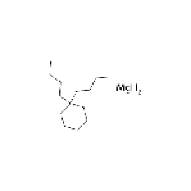 CCCCC1(CCCC)CCCCC1.[MgH2]